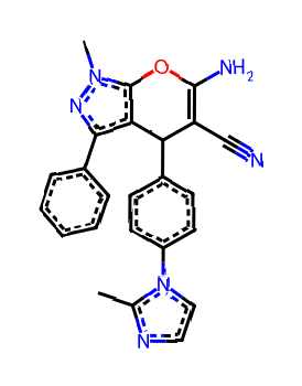 Cc1nccn1-c1ccc(C2C(C#N)=C(N)Oc3c2c(-c2ccccc2)nn3C)cc1